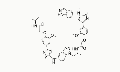 COc1cc(-c2nc(Nc3ccc4c(cnn4CC(C)NC(=O)COc4ccc(-c5nc(N(C)c6ccc7[nH]ncc7c6)n(C)n5)cc4OC)c3)n(C)n2)ccc1OCC(=O)NC(C)C